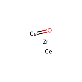 [Ce].[O]=[Ce].[Zr]